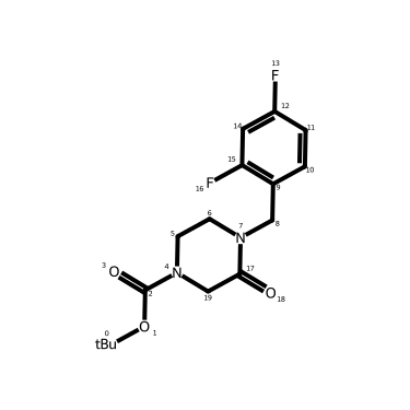 CC(C)(C)OC(=O)N1CCN(Cc2ccc(F)cc2F)C(=O)C1